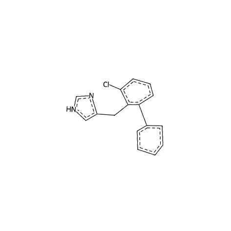 Clc1cccc(-c2ccccc2)c1Cc1c[nH]cn1